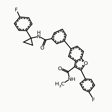 CNC(=O)c1c(-c2ccc(F)cc2)oc2ccc(-c3cccc(C(=O)NC4(c5ccc(F)cc5)CC4)c3)cc12